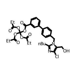 CCCCc1nc(Cl)c(CO)n1Cc1ccc(-c2cccc(C(=O)OC(OC(=O)CC)(OC(=O)CC)OC(=O)CC)c2)cc1